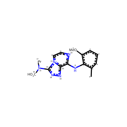 COc1cccc(C)c1Nc1nccn2c(N(C(=O)O)C(C)C)nnc12